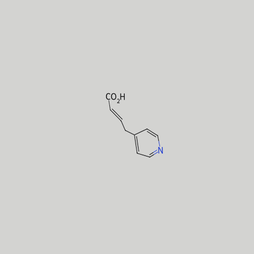 O=C(O)C=CCc1ccncc1